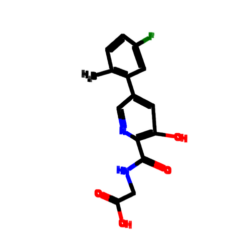 Bc1ccc(F)cc1-c1cnc(C(=O)NCC(=O)O)c(O)c1